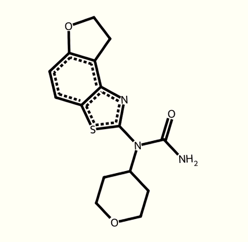 NC(=O)N(c1nc2c3c(ccc2s1)OCC3)C1CCOCC1